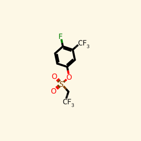 O=S(=O)(CC(F)(F)F)Oc1ccc(F)c(C(F)(F)F)c1